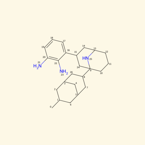 CC1CC2CC(C1)CC(C13CCCC(CC(c4cccc(N)c4N)C1)N3)C2